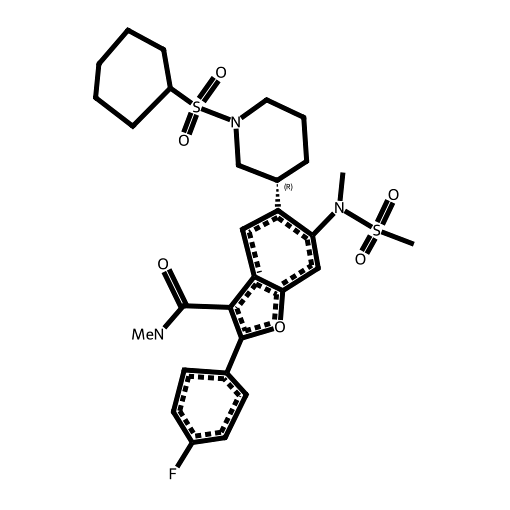 CNC(=O)c1c(-c2ccc(F)cc2)oc2cc(N(C)S(C)(=O)=O)c([C@H]3CCCN(S(=O)(=O)C4CCCCC4)C3)cc12